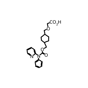 O=C(O)COCC1CCC(COC(=O)N(c2ccccc2)c2ccccn2)CC1